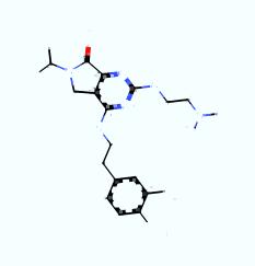 Cc1ccc(CCNc2nc(NCCN(C)C)nc3c2CN(C(C)C)C3=O)cc1C